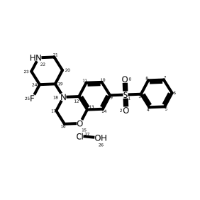 O=S(=O)(c1ccccc1)c1ccc2c(c1)OCCN2C1CCNCC1F.OCl